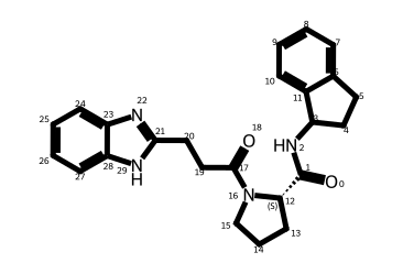 O=C(NC1CCc2ccccc21)[C@@H]1CCCN1C(=O)CCc1nc2ccccc2[nH]1